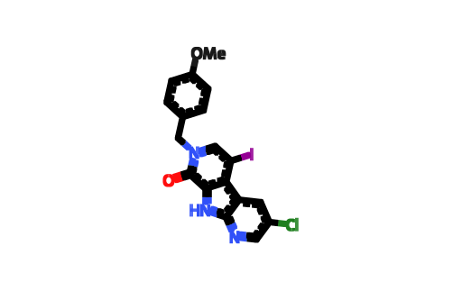 COc1ccc(Cn2cc(I)c3c([nH]c4ncc(Cl)cc43)c2=O)cc1